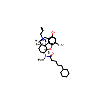 C=CCN1CC[C@]23c4c5c(O)cc(OC(C)=O)c4O[C@H]2[C@H](N(CCCCC)C(=O)CCCCC2CCCCC2)CC[C@H]3[C@H]1C5